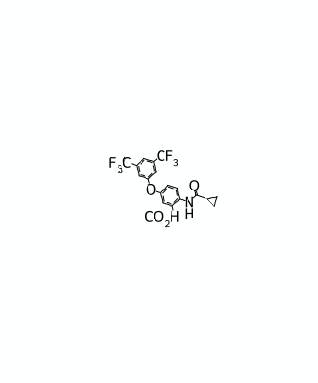 O=C(O)c1cc(Oc2cc(C(F)(F)F)cc(C(F)(F)F)c2)ccc1NC(=O)C1CC1